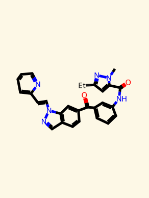 CCc1cc(C(=O)Nc2cccc(C(=O)c3ccc4cnn(C=Cc5ccccn5)c4c3)c2)n(C)n1